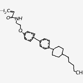 C=CC(=O)NCCOc1ccc(-c2ccc(C3CCC(CCCCC)CC3)cc2)cc1